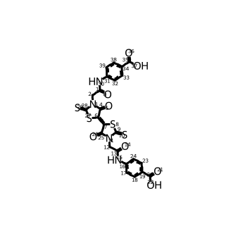 O=C(CN1C(=O)/C(=C2\SC(=S)N(CC(=O)Nc3ccc(C(=O)O)cc3)C2=O)SC1=S)Nc1ccc(C(=O)O)cc1